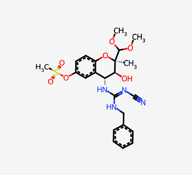 COC(OC)[C@]1(C)Oc2ccc(OS(C)(=O)=O)cc2[C@@H](NC(=NC#N)NCc2ccccc2)[C@@H]1O